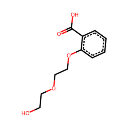 O=C(O)c1ccccc1OCCOCCO